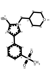 CC(C)(C)c1nc(-c2cccc(S(C)(=O)=O)c2)cn1CC1CCOCC1